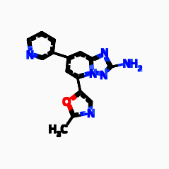 Cc1ncc(-c2cc(-c3cccnc3)cc3nc(N)nn23)o1